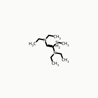 CCN(C=C([SiH2]C)N(CC)CC)CC